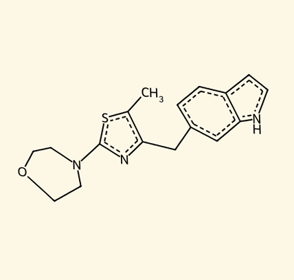 Cc1sc(N2CCOCC2)nc1Cc1ccc2cc[nH]c2c1